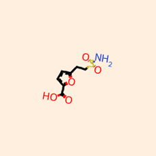 NS(=O)(=O)CCc1ccc(C(=O)O)o1